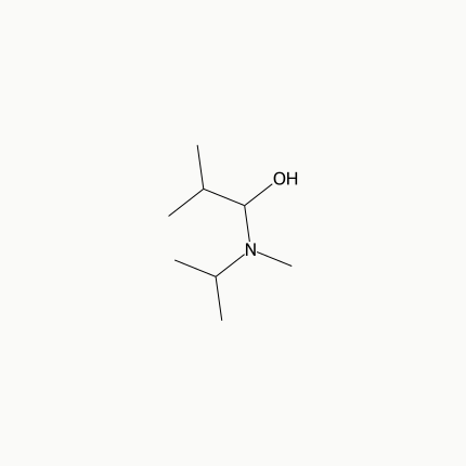 CC(C)C(O)N(C)C(C)C